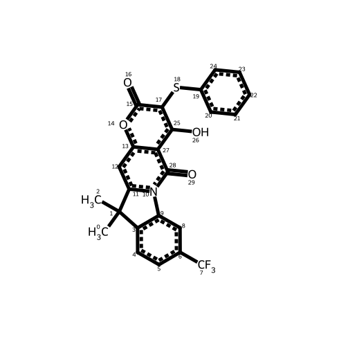 CC1(C)c2ccc(C(F)(F)F)cc2-n2c1cc1oc(=O)c(Sc3ccccc3)c(O)c1c2=O